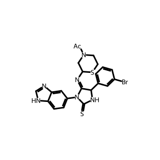 CC(=O)N1CCSC(N=C2C(c3cccc(Br)c3)NC(=S)N2c2ccc3[nH]cnc3c2)C1